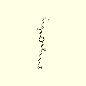 CCCCOC(=O)C=Cc1ccc(C=CC(=O)OCCCCCCO)cc1